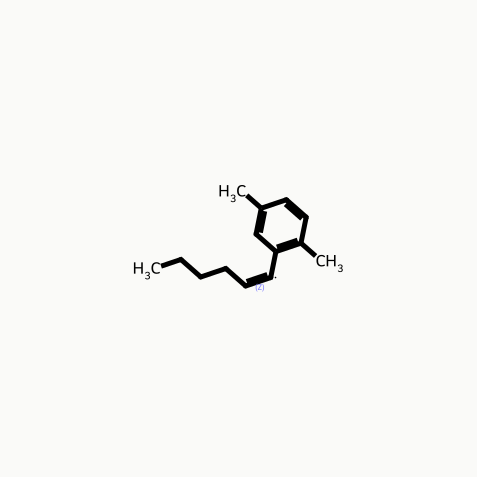 CCCC/C=[C]\c1cc(C)ccc1C